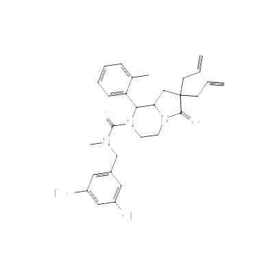 C=CCC1(CC=C)CC2C(c3ccccc3C)N(C(=O)N(C)Cc3cc(C(F)(F)F)cc(C(F)(F)F)c3)CCN2C1=O